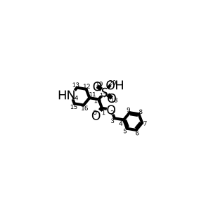 O=C(OCc1ccccc1)C(C1CCNCC1)S(=O)(=O)O